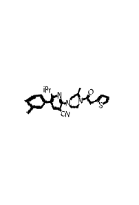 Cc1cccc(-c2cc(C#N)c(N3CCN(C(=O)Cc4cccs4)C(C)C3)nc2C(C)C)c1